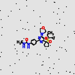 C=CC(C1CC1)S(=O)(=O)C1(c2cc(N3CCOCC3)nc(-c3ccc(NC(=O)NC)cc3)n2)CCCC1